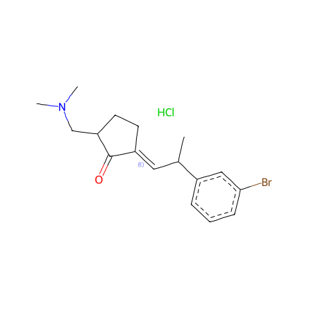 CC(/C=C1\CCC(CN(C)C)C1=O)c1cccc(Br)c1.Cl